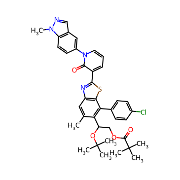 Cc1cc2nc(-c3cccn(-c4ccc5c(cnn5C)c4)c3=O)sc2c(-c2ccc(Cl)cc2)c1C(COC(=O)C(C)(C)C)OC(C)(C)C